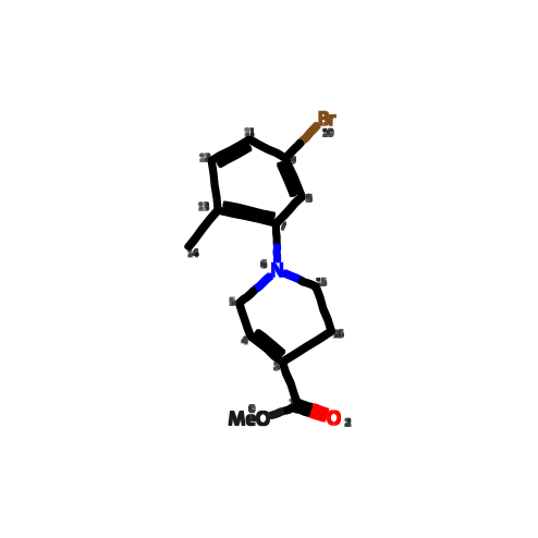 COC(=O)C1=CCN(c2cc(Br)ccc2C)CC1